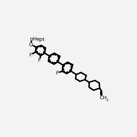 C=CC1CCC(C2CCC(c3ccc(-c4ccc(-c5ccc(OCCCCCCC)c(F)c5F)cc4)c(F)c3)CC2)CC1